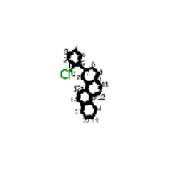 Clc1ccccc1C1CC=c2ccc3c4c(ccc3c2C1)=CC=CC4